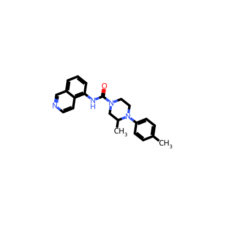 Cc1ccc(N2CCN(C(=O)Nc3cccc4cnccc34)CC2C)cc1